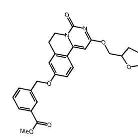 COC(=O)c1cccc(COc2ccc3c(c2)CCn2c-3cc(OCC3CCCO3)nc2=O)c1